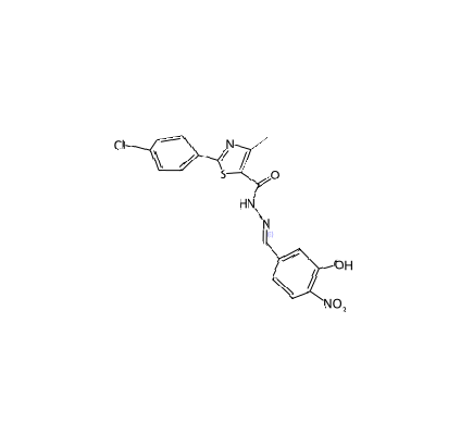 Cc1nc(-c2ccc(Cl)cc2)sc1C(=O)N/N=C/c1ccc([N+](=O)[O-])c(O)c1